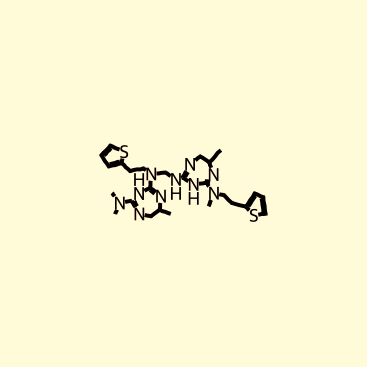 CC1CN=C(NCN(CCc2cccs2)C2=NC(C)CN=C(N(C)C)N2)NC(N(C)CCc2cccs2)=N1